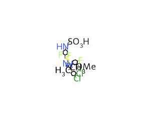 COc1cc(-n2c(C(C)(C)c3ccc(Cl)c(Cl)c3)cnc2SCc2c(F)cc(NCCS(=O)(=O)O)cc2F)ccc1F